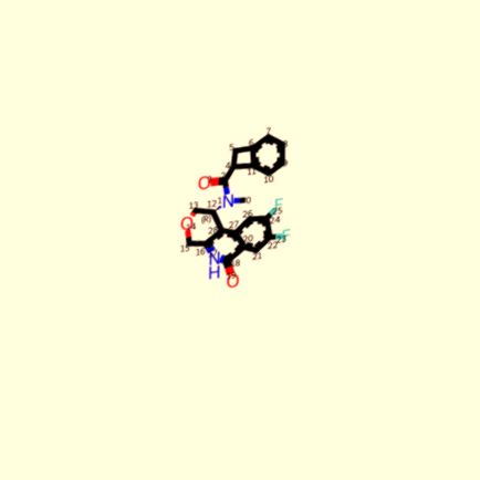 CN(C(=O)C1Cc2ccccc21)[C@H]1COCc2[nH]c(=O)c3cc(F)c(F)cc3c21